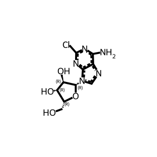 Nc1nc(Cl)nc2c1ncn2[C@@H]1O[C@H](CO)[C@H](O)[C@H]1O